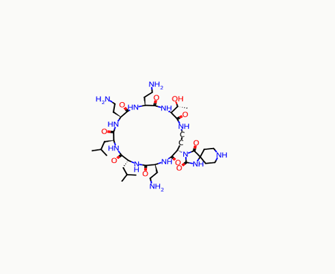 CC(C)C[C@@H]1NC(=O)[C@@H](CC(C)C)NC(=O)[C@H](CCN)NC(=O)[C@@H](N2C(=O)NC3(CCNCC3)C2=O)CCNC(=O)[C@H]([C@@H](C)O)NC(=O)[C@H](CCN)NC(=O)[C@H](CCN)NC1=O